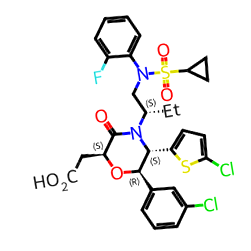 CC[C@@H](CN(c1ccccc1F)S(=O)(=O)C1CC1)N1C(=O)[C@H](CC(=O)O)O[C@H](c2cccc(Cl)c2)[C@H]1c1ccc(Cl)s1